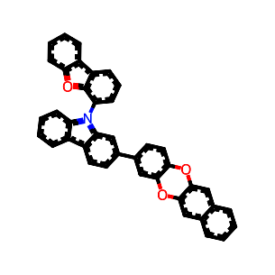 c1ccc2cc3c(cc2c1)Oc1ccc(-c2ccc4c5ccccc5n(-c5cccc6c5oc5ccccc56)c4c2)cc1O3